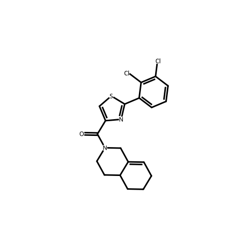 O=C(c1csc(-c2cccc(Cl)c2Cl)n1)N1CCC2CCCC=C2C1